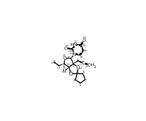 C=C=C[C@@]12OC3(CCCC3)O[C@@H]1[C@@H](CI)O[C@H]2n1ccc(=O)[nH]c1=O